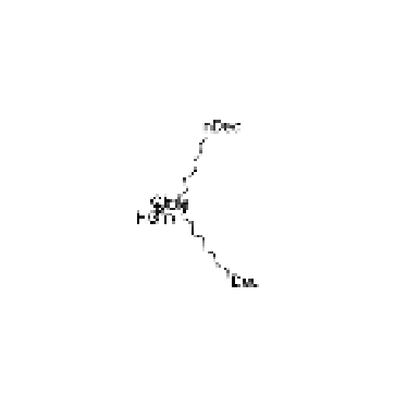 CCCCCCCCCCCCCCCCC[CH2][Ni][CH2]CCCCCCCCCCCCCCCCC.O=P(O)(O)O